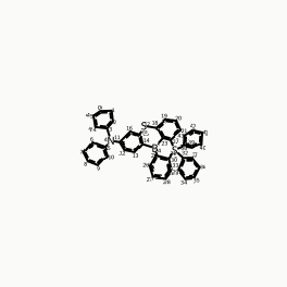 c1ccc(N(c2ccccc2)c2ccc3c(c2)Sc2cccc4c2B3c2ccccc2S4(c2ccccc2)c2ccccc2)cc1